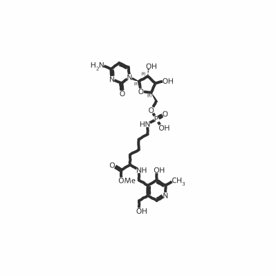 COC(=O)C(CCCCNP(=O)(O)OC[C@H]1O[C@@H](n2ccc(N)nc2=O)[C@H](O)C1O)NCc1c(CO)cnc(C)c1O